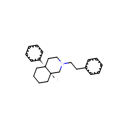 c1ccc(CCN2CC[C@@]3(c4ccccc4)CCCC[C@H]3C2)cc1